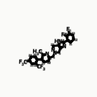 Cc1nc(CN2Cc3nc(-c4cccc(F)c4F)[nH]c3C=N2)ccc1-c1ccc(C(F)(F)F)cc1C(F)(F)F